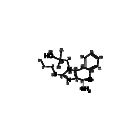 CCCSc1nc2c(N)nc3ccccc3c2n1CC(C)(C)O